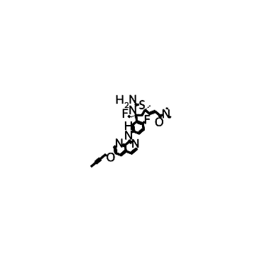 CC#CCOc1cnc2c(Nc3ccc(F)c([C@]4(CF)C[C@](C)(/C=C/C(=O)N(C)C)SC(N)=N4)c3)nccc2c1